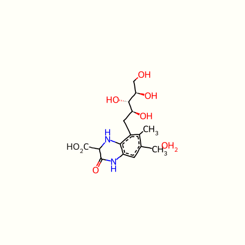 Cc1cc2c(c(C[C@H](O)[C@H](O)[C@H](O)CO)c1C)NC(C(=O)O)C(=O)N2.O